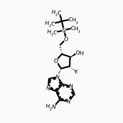 CC(C)(C)[Si](C)(C)OC[C@H]1O[C@@H](n2cnc3c(N)ncnc32)[C@@H](F)[C@@H]1O